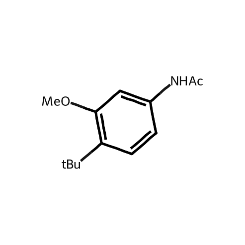 COc1cc(NC(C)=O)ccc1C(C)(C)C